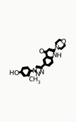 Cc1cc(O)ccc1-n1cc(-c2ccc3[nH]c(N4CCOCC4)cc(=O)c3c2)nn1